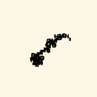 C#CCN(CCC(=O)NCCONC)C(=O)CCCCCN1C(=O)[C@@H]2[C@H](C1=O)[C@H]1C=C[C@@H]2C1